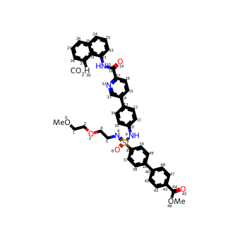 COCCOCCN=S(=O)(Nc1ccc(-c2ccc(C(=O)Nc3cccc4cccc(C(=O)O)c34)nc2)cc1)c1ccc(-c2ccc(C(=O)OC)cc2)cc1